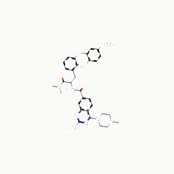 COc1ccc(C#N)c(Oc2cccc(CC(NC(=O)c3ccc4c(N5CCN(C)CC5)nc(N)nc4c3)C(=O)N(C)C)c2)c1